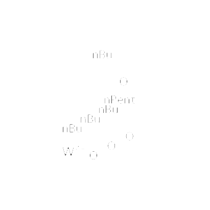 CCCCCC.CCCC[O-].CCCC[O-].CCCC[O-].CCCC[O-].[W+4]